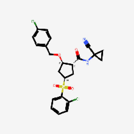 N#CC1(NC(=O)[C@@H]2C[C@@H](S(=O)(=O)c3ccccc3Cl)C[C@H]2OCc2ccc(Cl)cc2)CC1